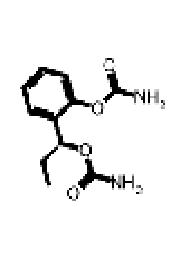 CC[C@H](OC(N)=O)c1ccccc1OC(N)=O